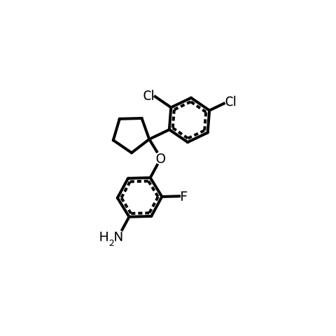 Nc1ccc(OC2(c3ccc(Cl)cc3Cl)CCCC2)c(F)c1